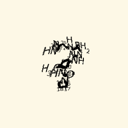 Bc1cnc(Nc2ccc(C)c(NC(=O)N3CCCC3)c2)nc1NCCc1c[nH]cn1